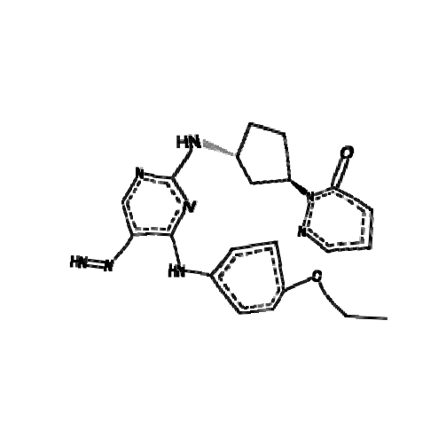 CCOc1ccc(Nc2nc(N[C@@H]3CC[C@@H](n4ncccc4=O)C3)ncc2N=N)cc1